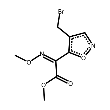 CON=C(C(=O)OC)c1oncc1CBr